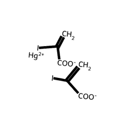 C=C(I)C(=O)[O-].C=C(I)C(=O)[O-].[Hg+2]